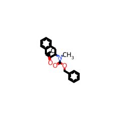 CN(C(=O)OCc1ccccc1)C1CC2C(=O)CC1c1ccccc12